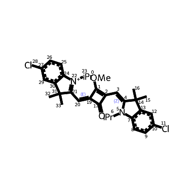 COC1=C(/C=C2\N(C(C)C)c3ccc(Cl)cc3C2(C)C)C(=O)/C1=C/C1=[N+](C(C)C)c2ccc(Cl)cc2C1(C)C